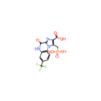 O=C(O)c1nc2c(=O)[nH]c3cc(C(F)(F)F)ccc3n2c1CP(=O)(O)O